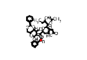 CC[C@@H](C)[C@@H](OC(C)=O)C1O[C@@](OC2[C@@H]3OC(c4ccccc4)OCC3O[C@H](C)[C@@H]2OC(=O)c2ccccc2)(C(=O)OC)C[C@H]2OC(=O)C[C@@H]12